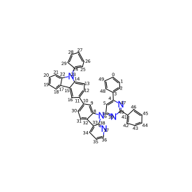 c1ccc(-c2cc(-n3c4cc(-c5ccc6c(c5)c5ccccc5n6-c5ccccc5)ccc4c4cccnc43)nc(-c3ccccc3)n2)cc1